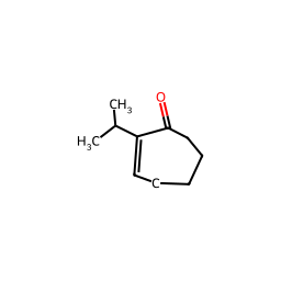 CC(C)C1=CCCCCC1=O